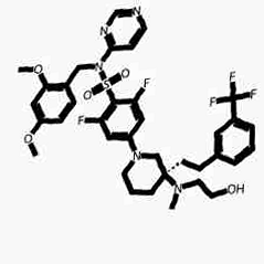 COc1ccc(CN(c2ccncn2)S(=O)(=O)c2c(F)cc(N3CCC[C@](CCc4cccc(C(F)(F)F)c4)(N(C)CCO)C3)cc2F)c(OC)c1